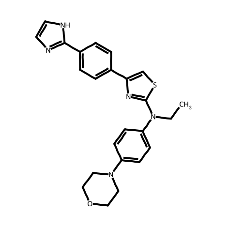 CCN(c1ccc(N2CCOCC2)cc1)c1nc(-c2ccc(-c3ncc[nH]3)cc2)cs1